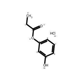 CCC(=O)Oc1cccc(O)c1.Cl